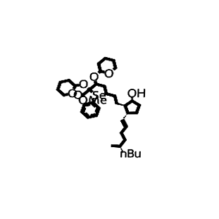 CCCC[C@H](C)CCC=C[C@H]1CC[C@H](O)[C@@H]1CCCCC(OC1CCCCO1)C(OC1CCCCO1)([Se]c1ccccc1)C(=O)OC